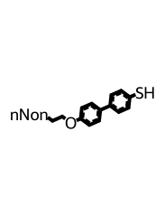 CCCCCCCCCCCOc1ccc(-c2ccc(S)cc2)cc1